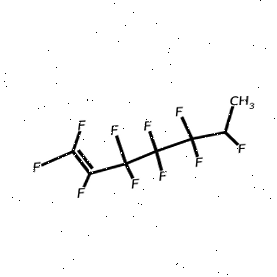 CC(F)C(F)(F)C(F)(F)C(F)(F)C(F)=C(F)F